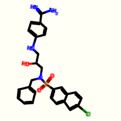 N=C(N)c1ccc(NCC(O)CN(Cc2ccccc2)S(=O)(=O)c2ccc3cc(Cl)ccc3c2)cc1